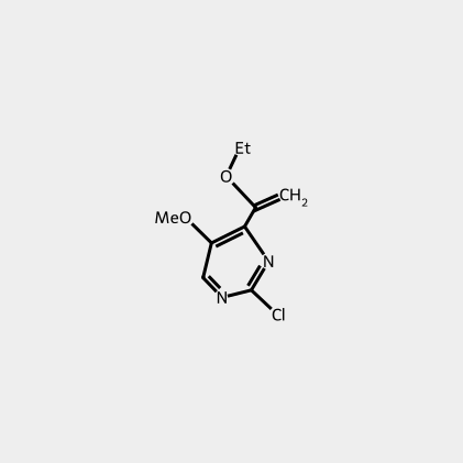 C=C(OCC)c1nc(Cl)ncc1OC